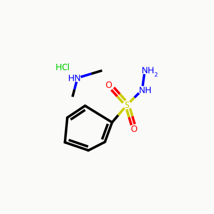 CNC.Cl.NNS(=O)(=O)c1ccccc1